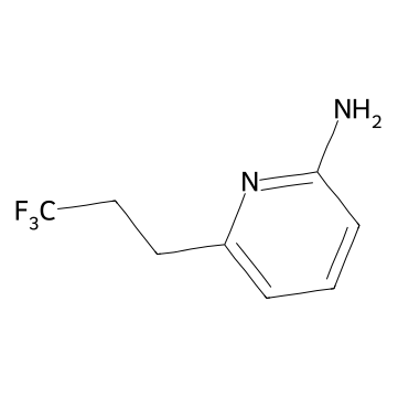 Nc1cccc(CCC(F)(F)F)n1